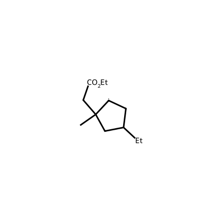 [CH2]CC1C[CH]C(C)(CC(=O)OCC)C1